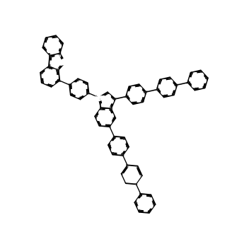 C1=CC(c2ccccc2)CC=C1c1ccc(-c2ccc3c(c2)c(-c2ccc(-c4ccc(-c5ccccc5)cc4)cc2)cn3-c2ccc(-c3cccc4c3sc3ccccc34)cc2)cc1